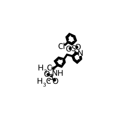 C[C@H](NS(C)(=O)=O)c1ccc(Cc2cccnc2S(=O)(=O)c2ccccc2Cl)cc1